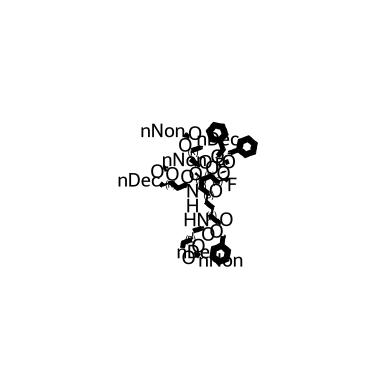 CCCCCCCCCCC[C@H](CC(=O)N[C@@H]1[C@@H](OC(=O)C[C@@H](CCCCCCCCCCC)OC(=O)CCCCCCCCC)[C@H](OP(=O)(OCc2ccccc2)OCc2ccccc2)[C@@H](CF)O[C@H]1CC[C@H](NC(=O)C[C@@H](CCCCCCCCCCC)OC(=O)CCCCCCCCC)C(=O)OCc1ccccc1)OC(=O)CCCCCCCCC